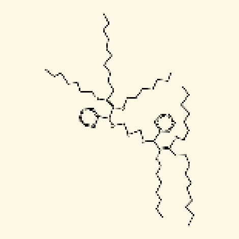 CCCCCCCCCCC(OCCCCCCC)=C(OCCCCCCC)C(OCOCOC(C(OCCCCCCC)=C(CCCCCCCCCC)OCCCCCCC)c1ccccc1)c1ccccc1